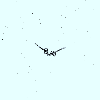 CCCCCCCCCCCCCC(=O)OCCCN(C)CCCOC(=O)CCCCCCCCCCCCC